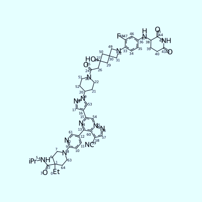 CCC1(C(=O)NC(C)C)CCN(c2ccc(-c3nc(-c4cnn(C5CCN(C(=O)CC6(O)CC7(CN(c8ccc(NC9CCC(=O)NC9=O)cc8F)C7)C6)CC5)c4)cn4ncc(C#N)c34)cn2)CC1